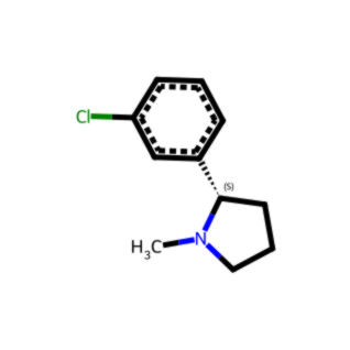 CN1CCC[C@H]1c1cccc(Cl)c1